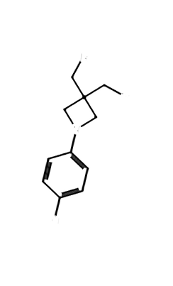 Cc1ccc(N2CC(CBr)(CBr)C2)cc1